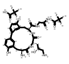 NC[C@H](O)C[C@@H]1NC(=O)[C@@H](N)Cc2cc(ccc2O)-c2ccc(Cl)c(c2)C[C@@H](C(=O)NCC(N)=O)NC1=O.O=C(O)C(F)(F)F.O=C(O)C(F)(F)F